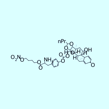 CCCC1O[C@@H]2C[C@H]3[C@@H]4CCC5=CC(=O)C=C[C@]5(C)[C@H]4[C@@H](O)C[C@]3(C)[C@]2(C(=O)COC(=O)Oc2ccc(CC(N)C(=O)OCCCCO[N+](=O)[O-])cc2)O1